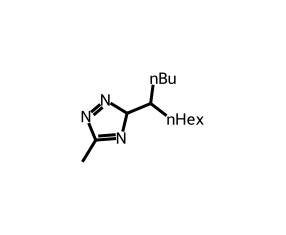 CCCCCCC(CCCC)C1N=NC(C)=N1